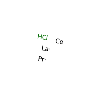 Cl.[Ce].[La].[Pr]